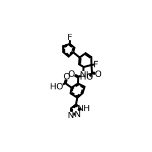 O=C(O)c1cc(-c2cnn[nH]2)ccc1C(=O)NC1C=C(c2cccc(F)c2)C=CC1(F)C(=O)O